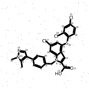 Cc1c(-c2ccc(Cn3c(C(=O)O)cc4c(Sc5ccc(Cl)cc5Cl)cc(Cl)cc43)cc2)cnn1C